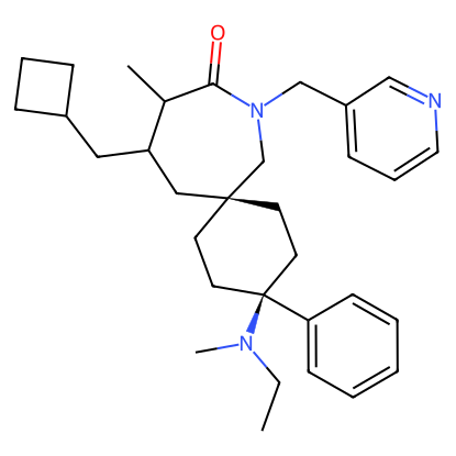 CCN(C)[C@]1(c2ccccc2)CC[C@@]2(CC1)CC(CC1CCC1)C(C)C(=O)N(Cc1cccnc1)C2